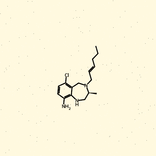 CCC/C=C/CN1Cc2c(Cl)ccc(N)c2NC[C@@H]1C